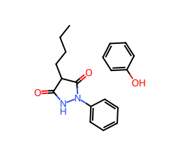 CCCCC1C(=O)NN(c2ccccc2)C1=O.Oc1ccccc1